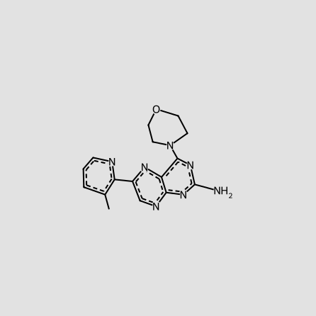 Cc1cccnc1-c1cnc2nc(N)nc(N3CCOCC3)c2n1